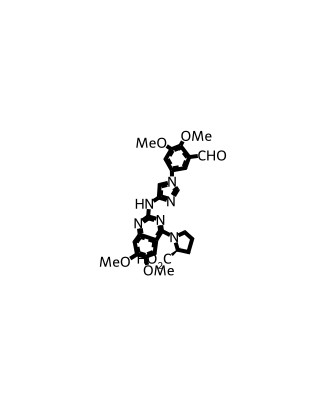 COc1cc2nc(Nc3cn(-c4cc(C=O)c(OC)c(OC)c4)cn3)nc(N3CCC[C@H]3C(=O)O)c2cc1OC